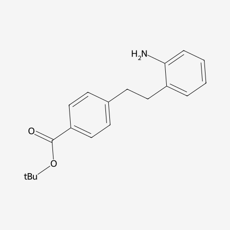 CC(C)(C)OC(=O)c1ccc(CCc2ccccc2N)cc1